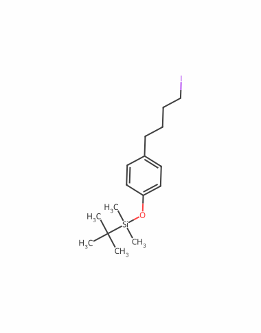 CC(C)(C)[Si](C)(C)Oc1ccc(CCCCI)cc1